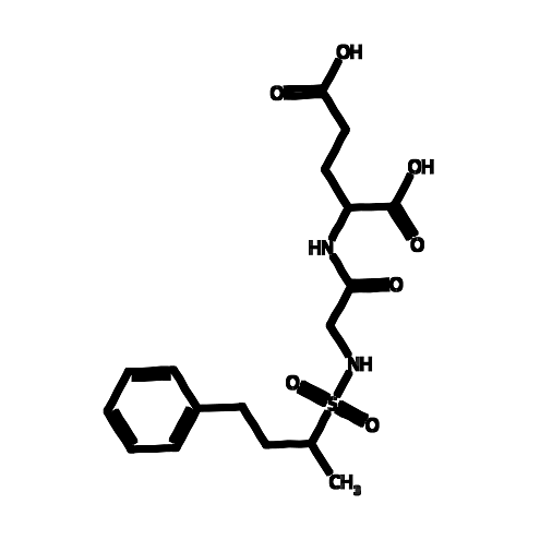 CC(CCc1ccccc1)S(=O)(=O)NCC(=O)NC(CCC(=O)O)C(=O)O